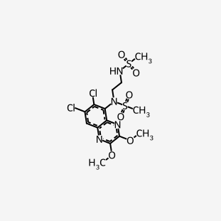 COc1nc2cc(Cl)c(Cl)c(N(CCNS(C)(=O)=O)S(C)(=O)=O)c2nc1OC